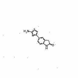 Nc1nc(-c2ccc3c(c2)CC(=O)N3)cs1